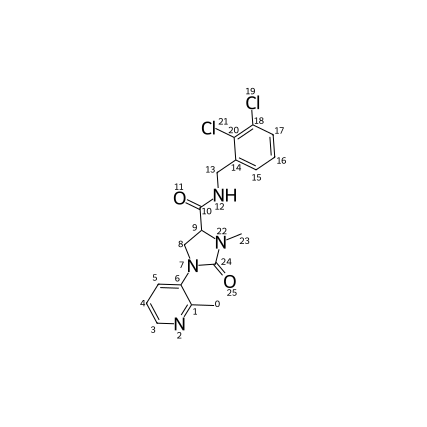 Cc1ncccc1N1CC(C(=O)NCc2cccc(Cl)c2Cl)N(C)C1=O